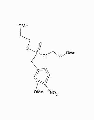 COCCOP(=O)(Cc1ccc([N+](=O)[O-])c(OC)c1)OCCOC